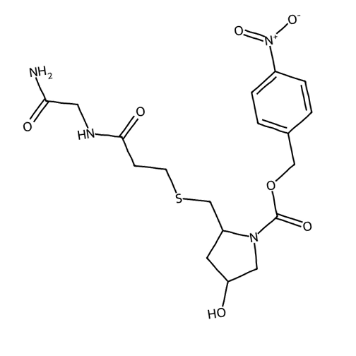 NC(=O)CNC(=O)CCSCC1CC(O)CN1C(=O)OCc1ccc([N+](=O)[O-])cc1